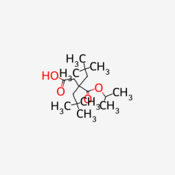 CC(C)OC(=O)C(CC(=O)O)(CC(C)(C)C)CC(C)(C)C